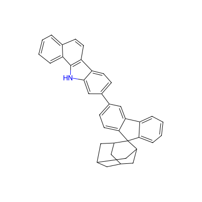 c1ccc2c(c1)-c1cc(-c3ccc4c(c3)[nH]c3c5ccccc5ccc43)ccc1C21C2CC3CC(C2)CC1C3